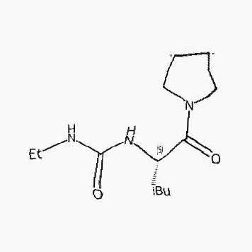 CCNC(=O)N[C@H](C(=O)N1C[CH][CH]C1)C(C)CC